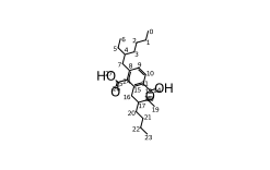 CCCCC(CC)Cc1ccc(C(=O)O)c(CC(CC)CCCC)c1C(=O)O